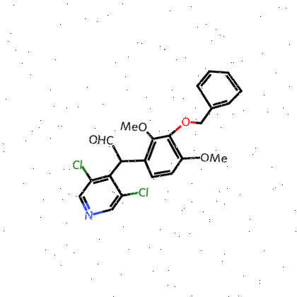 COc1ccc(C(C=O)c2c(Cl)cncc2Cl)c(OC)c1OCc1ccccc1